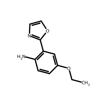 CCOc1ccc(N)c(-c2ncco2)c1